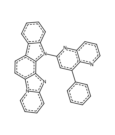 c1ccc(-c2cc(-n3c4ccccc4c4ccc5c(nc6ccccn65)c43)nc3cccnc23)cc1